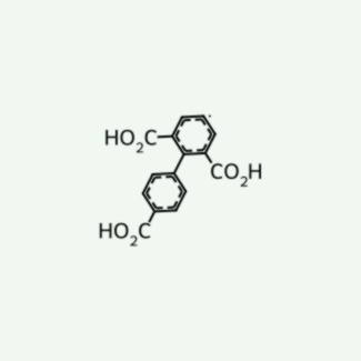 O=C(O)c1ccc(-c2c(C(=O)O)c[c]cc2C(=O)O)cc1